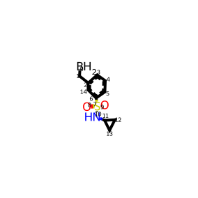 BCc1cccc(S(=O)(=O)NC2CC2)c1